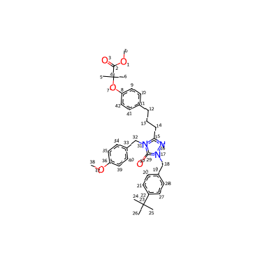 COC(=O)C(C)(C)Oc1ccc(CCCc2nn(Cc3ccc(C(C)(C)C)cc3)c(=O)n2Cc2ccc(OC)cc2)cc1